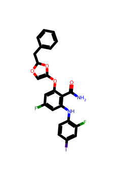 NC(=O)c1c(Nc2ccc(I)cc2F)cc(F)cc1OC1=COC(Cc2ccccc2)O1